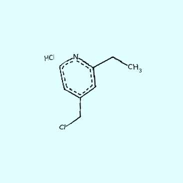 CCc1cc(CCl)ccn1.Cl